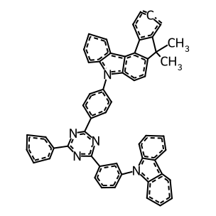 CC1(C)c2ccccc2-c2c1ccc1c2c2ccccc2n1-c1ccc(-c2nc(-c3ccccc3)nc(-c3cccc(-n4c5ccccc5c5ccccc54)c3)n2)cc1